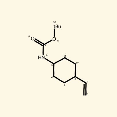 C=CC1CCC(NC(=O)OC(C)(C)C)CC1